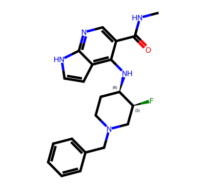 CNC(=O)c1cnc2[nH]ccc2c1N[C@@H]1CCN(Cc2ccccc2)C[C@@H]1F